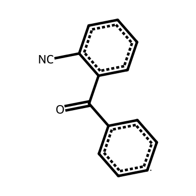 N#Cc1ccccc1C(=O)c1cc[c]cc1